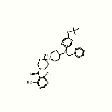 Cc1ncnc(C)c1C(=O)N1CCC(C)(N2CCC(N(Cc3ccccc3)c3ccc(OC(F)(F)F)cc3)CC2)CC1